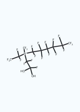 OC(O)(F)C(F)(F)[N+](C(F)(F)F)(C(F)(F)C(F)(F)F)C(F)(F)C(F)(F)C(F)(F)C(F)(F)C(F)(F)C(F)(F)F